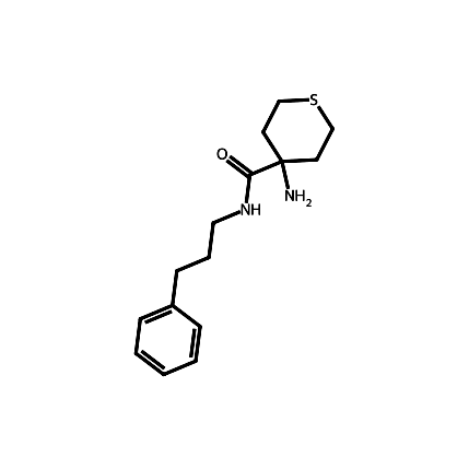 NC1(C(=O)NCCCc2ccccc2)CCSCC1